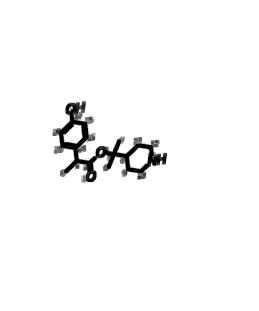 CC(C(=O)OC(C)(C)C1CCNCC1)c1ccc(O)cc1